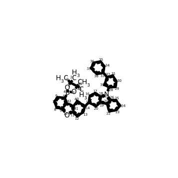 CC1(C)OB(c2cccc3oc4ccc(-c5ccc6c(c5)c5ccccc5n6-c5cccc(-c6ccccc6)c5)cc4c23)OC1(C)C